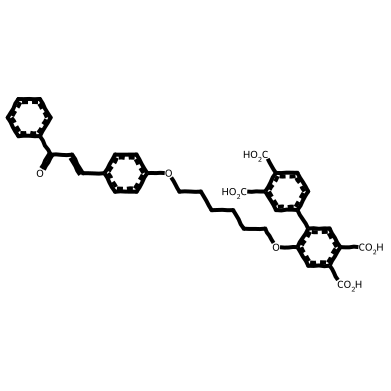 O=C(C=Cc1ccc(OCCCCCCOc2cc(C(=O)O)c(C(=O)O)cc2-c2ccc(C(=O)O)c(C(=O)O)c2)cc1)c1ccccc1